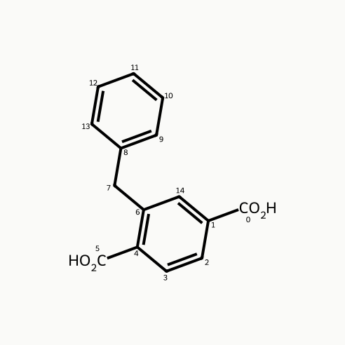 O=C(O)c1ccc(C(=O)O)c(Cc2ccccc2)c1